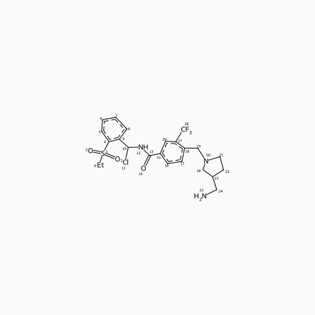 CCS(=O)(=O)c1ccccc1C(Cl)NC(=O)c1ccc(CN2CCC(CN)C2)c(C(F)(F)F)c1